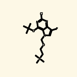 CC(C)(C)Oc1nc(Cl)nc2c(F)cn(COCC[Si](C)(C)C)c12